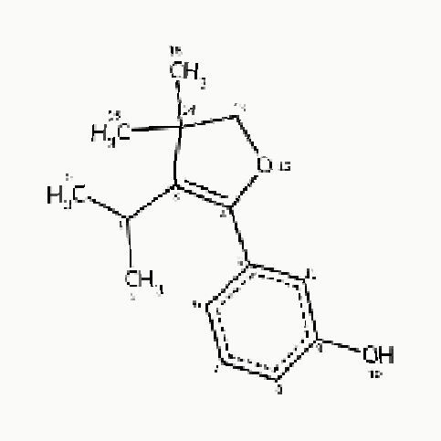 CC(C)C1=C(c2cccc(O)c2)OCC1(C)C